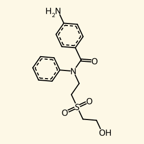 Nc1ccc(C(=O)N(CCS(=O)(=O)CCO)c2ccccc2)cc1